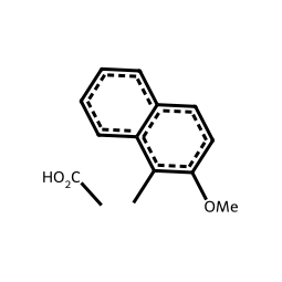 CC(=O)O.COc1ccc2ccccc2c1C